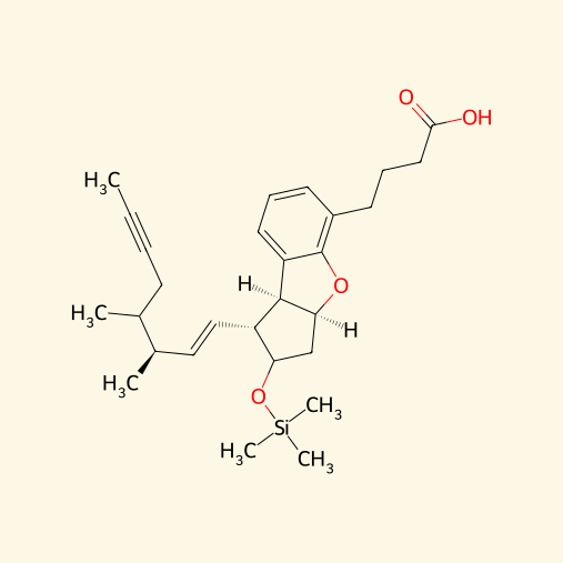 CC#CCC(C)[C@H](C)/C=C/[C@H]1C(O[Si](C)(C)C)C[C@@H]2Oc3c(CCCC(=O)O)cccc3[C@@H]21